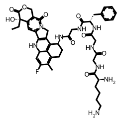 CC[C@@]1(O)C(=O)OCc2c1cc1n(c2=O)CC2=C1NC1C=C(F)C(C)=C3CC[C@H](NC(=O)CNC(=O)[C@H](Cc4ccccc4)NC(=O)CNC(=O)CNC(=O)[C@@H](N)CCCCN)C2=C31